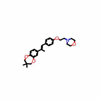 CC(=Cc1ccc(OCCN2CCOCC2)cc1)c1ccc2c(c1)OCC(C)(C)CO2